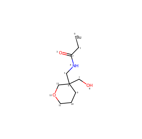 CC(C)(C)CC(=O)NCC1(CO)CCCOC1